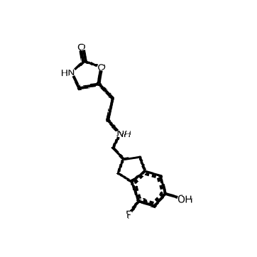 O=C1NCC(CCNCC2Cc3cc(O)cc(F)c3C2)O1